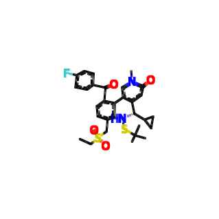 CCS(=O)(=O)Cc1ccc(C(=O)c2ccc(F)cc2)c(-c2cn(C)c(=O)cc2[C@@H](NSC(C)(C)C)C2CC2)c1